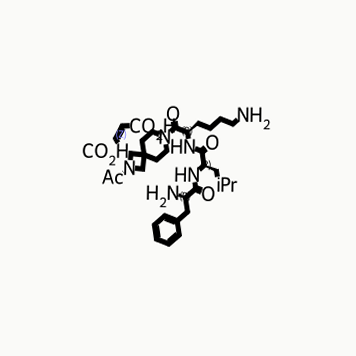 CC(=O)N1CC2(CCN(C(=O)[C@@H](CCCCN)NC(=O)[C@@H](CC(C)C)NC(=O)[C@H](N)Cc3ccccc3)CC2)C1.O=C(O)/C=C\C(=O)O